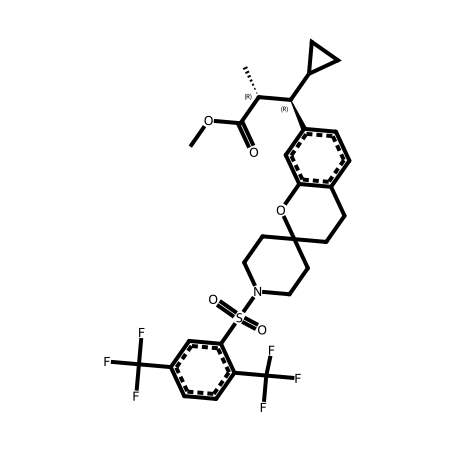 COC(=O)[C@H](C)[C@H](c1ccc2c(c1)OC1(CC2)CCN(S(=O)(=O)c2cc(C(F)(F)F)ccc2C(F)(F)F)CC1)C1CC1